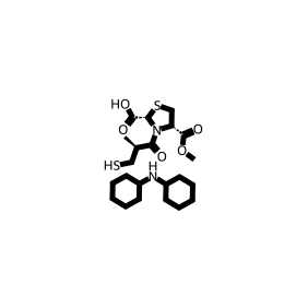 C1CCC(NC2CCCCC2)CC1.COC(=O)[C@H]1CS[C@@H](C(=O)O)N1C(=O)[C@H](C)CS